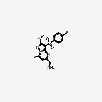 CNc1nn2c(C)cc(CN)nc2c1S(=O)(=O)c1ccc(F)cc1